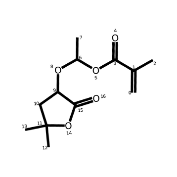 C=C(C)C(=O)OC(C)OC1CC(C)(C)OC1=O